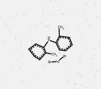 Cc1ccccc1Pc1ccccc1C.[Br][Pd][Br]